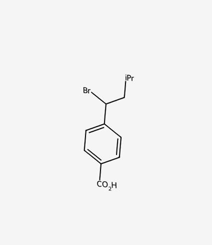 CC(C)CC(Br)c1ccc(C(=O)O)cc1